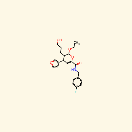 CCOC1OC(C(=O)NCc2ccc(F)cc2)=CC(c2ccoc2)C1CCCO